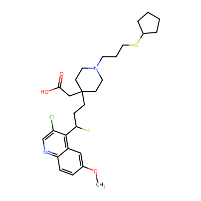 COc1ccc2ncc(Cl)c(C(F)CCC3(CC(=O)O)CCN(CCCSC4CCCC4)CC3)c2c1